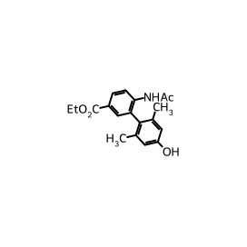 CCOC(=O)c1ccc(NC(C)=O)c(-c2c(C)cc(O)cc2C)c1